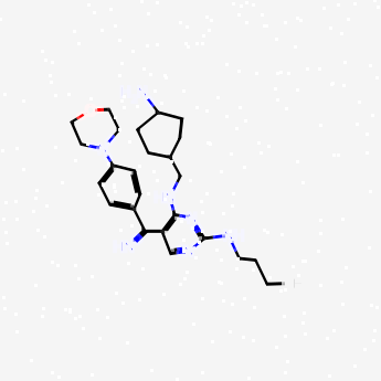 CCCCNc1ncc(C(=N)c2ccc(N3CCOCC3)cc2)c(NCC2CCC(N)CC2)n1